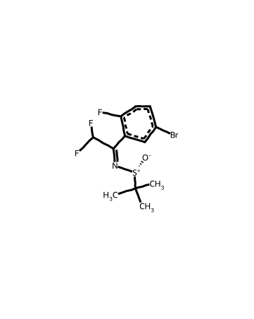 CC(C)(C)[S@@+]([O-])/N=C(\c1cc(Br)ccc1F)C(F)F